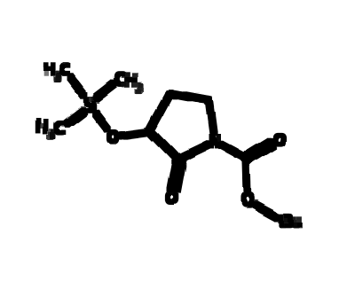 CC(C)(C)OC(=O)N1CCC(O[Si](C)(C)C)C1=O